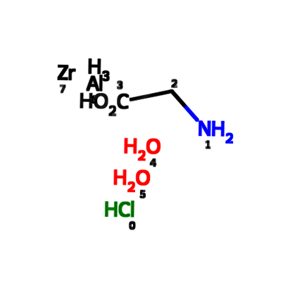 Cl.NCC(=O)O.O.O.[AlH3].[Zr]